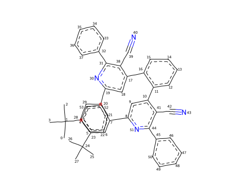 CC(C)(C)c1ccc(-c2cc(-c3ccccc3-c3cc(-c4ccc(C(C)(C)C)cc4)nc(-c4ccccc4)c3C#N)c(C#N)c(-c3ccccc3)n2)cc1